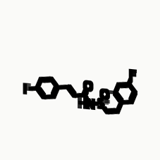 O=C(/C=C/c1ccc(F)cc1)N[S+]([O-])/C=C\c1ccc(F)cc1